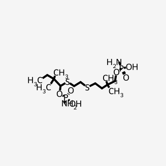 CCC(C)(C)C(OP(N)(=O)O)SCCSCCC(C)(C)COP(N)(=O)O